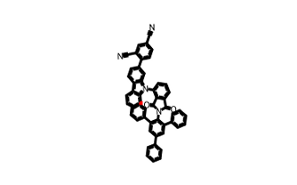 N#Cc1ccc(-c2ccc3c4ccccc4n(-c4cccc5c4C(=O)N(c4c(-c6ccccc6)cc(-c6ccccc6)cc4-c4ccccc4)C5=O)c3c2)c(C#N)c1